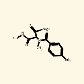 CCCCc1ccc(C(=O)N(C)C(C(=O)NC)C(=O)NO)cc1